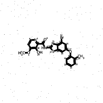 COc1ccnc(C(=O)Nc2nc3c(Br)cc(Oc4ccccc4C)cc3s2)c1O